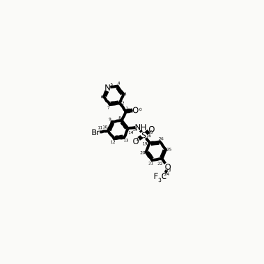 O=C(c1ccncc1)c1cc(Br)ccc1NS(=O)(=O)c1ccc(OC(F)(F)F)cc1